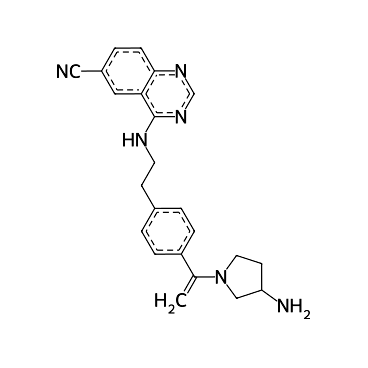 C=C(c1ccc(CCNc2ncnc3ccc(C#N)cc23)cc1)N1CCC(N)C1